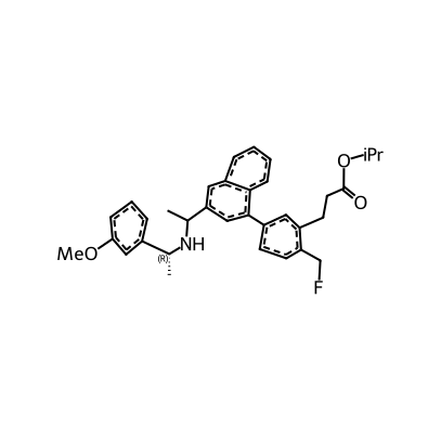 COc1cccc([C@@H](C)NC(C)c2cc(-c3ccc(CF)c(CCC(=O)OC(C)C)c3)c3ccccc3c2)c1